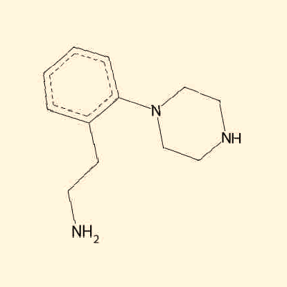 NCCc1ccccc1N1CCNCC1